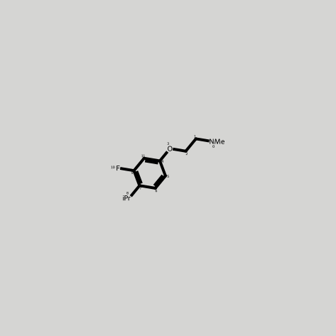 CNCCOc1ccc(C(C)C)c(F)c1